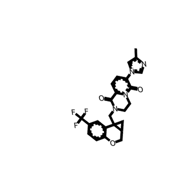 Cc1cn(-c2ccc3n(c2=O)CCN(CC24CC2COc2ccc(C(F)(F)F)cc24)C3=O)cn1